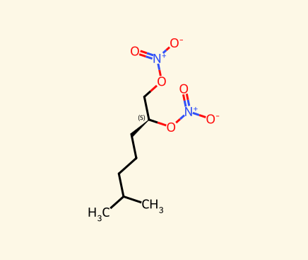 CC(C)CCC[C@@H](CO[N+](=O)[O-])O[N+](=O)[O-]